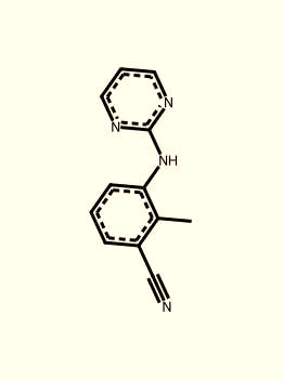 Cc1c(C#N)cccc1Nc1ncccn1